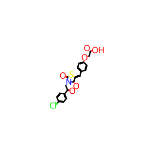 O=C(O)COc1ccc(/C=C2\SC(=O)N(CC(=O)c3ccc(Cl)cc3)C2=O)cc1